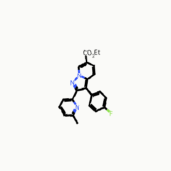 CCOC(=O)c1ccc2c(-c3ccc(F)cc3)c(-c3cccc(C)n3)nn2c1